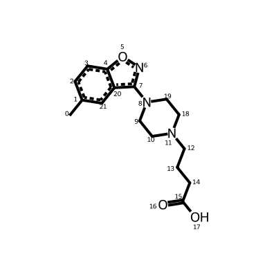 Cc1ccc2onc(N3CCN(CCCC(=O)O)CC3)c2c1